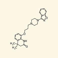 CC1(C)CC(=O)Nc2c(OCCCN3CCN(c4noc5ccccc45)CC3)cccc21